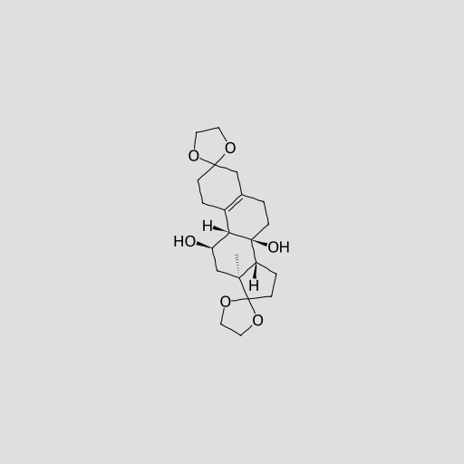 C[C@]12C[C@@H](O)[C@@H]3C4=C(CC[C@]3(O)[C@@H]1CCC21OCCO1)CC1(CC4)OCCO1